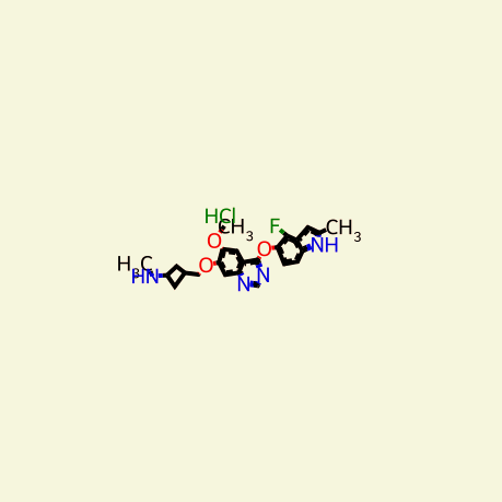 CNC1CC(COc2cc3ncnc(Oc4ccc5[nH]c(C)cc5c4F)c3cc2OC)C1.Cl